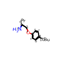 CC(C)[C@H](N)COc1ccc(C(C)(C)C)cc1